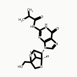 CC(C)C(=O)Nc1nc2c(ncn2[C@H]2COC3(CO)CO[C@H]2C3O)c(=O)[nH]1